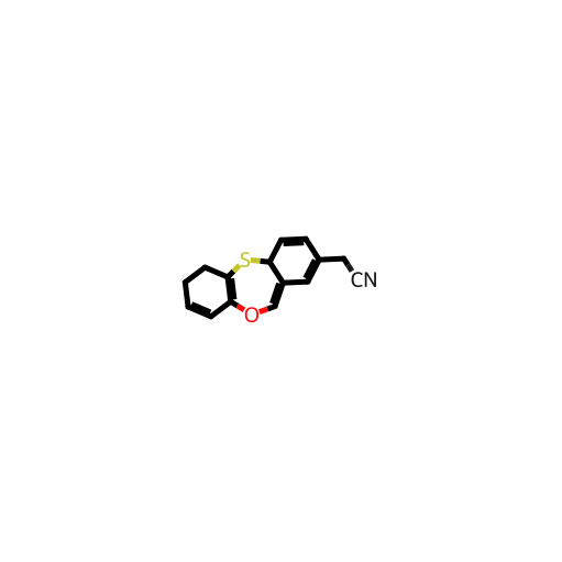 N#CCC1=CC2=COC3=C(CCC=C3)SC2C=C1